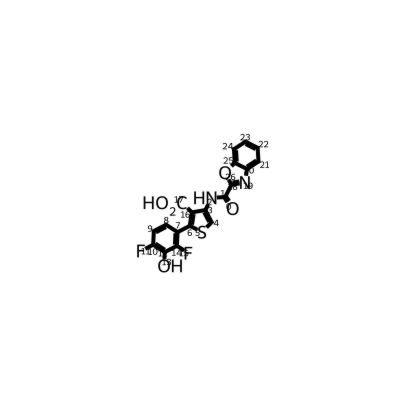 O=C(Nc1csc(-c2ccc(F)c(O)c2F)c1C(=O)O)c1nc2ccccc2o1